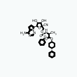 C[C@H](NP(=O)(OC[C@@]1(C#N)O[C@@H](c2ccc3c(N)ncnn23)[C@H](O)[C@@H]1O)Oc1ccccc1)C(=O)O[C@H]1CC[C@H](c2ccccc2)CC1